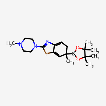 CN1CCN(c2nc3c(s2)=CC(C)(B2OC(C)(C)C(C)(C)O2)CC=3)CC1